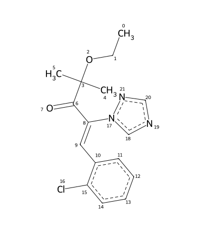 CCOC(C)(C)C(=O)C(=Cc1ccccc1Cl)n1cncn1